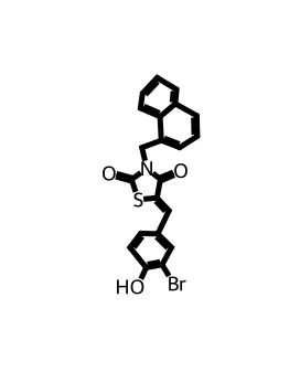 O=C1SC(=Cc2ccc(O)c(Br)c2)C(=O)N1Cc1cccc2ccccc12